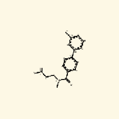 CNCCN(C)C(=O)c1ccc(-c2cccc(C)c2)cc1